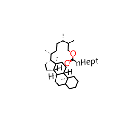 CCCCCCCC(=O)OCC(C)[C@@H](C)CC[C@@H](C)[C@H]1CC[C@H]2[C@@H]3CCC4CCCC[C@]4(C)[C@H]3CC[C@]12C